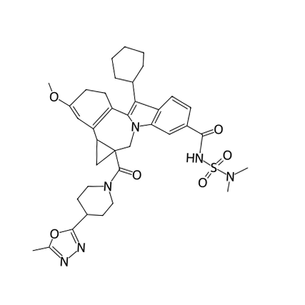 COC1=CC2=C(CC1)c1c(C3CCCCC3)c3ccc(C(=O)NS(=O)(=O)N(C)C)cc3n1CC1(C(=O)N3CCC(c4nnc(C)o4)CC3)CC21